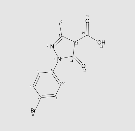 CC1=NN(c2ccc(Br)cc2)C(=O)C1C(=O)O